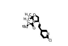 CC(C)(C)OC(=O)N1[C@@H](C=Cc2ccc(Cl)nc2)COC1(C)C